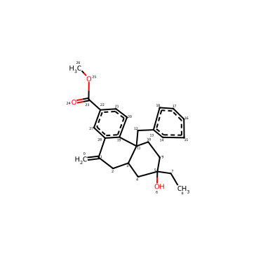 C=C1CC2CC(O)(CC)CCC2(Cc2ccccc2)c2ccc(C(=O)OC)cc21